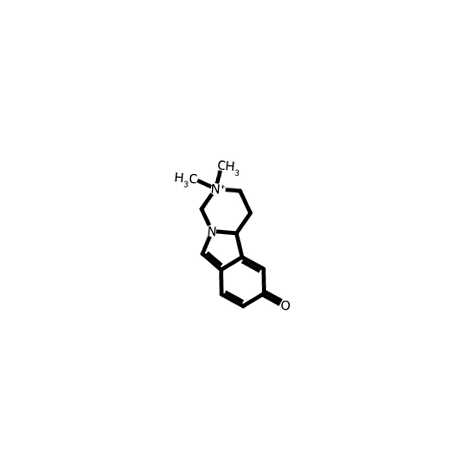 C[N+]1(C)CCC2C3=CC(=O)C=CC3=CN2C1